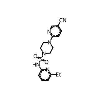 CCc1cccc(NS(=O)(=O)N2CCN(c3ccc(C#N)cn3)CC2)n1